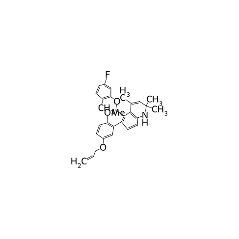 C=CCOc1ccc(OC)c(-c2ccc3c(c2COc2cc(F)ccc2C)C(C)=CC(C)(C)N3)c1